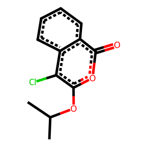 CC(C)Oc1oc(=O)c2ccccc2c1Cl